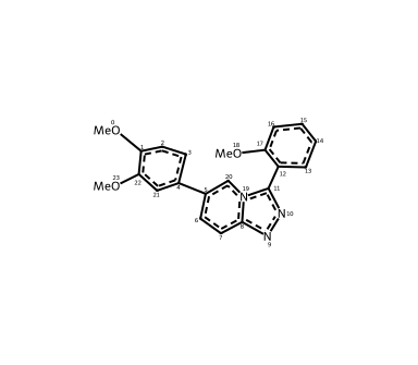 COc1ccc(-c2ccc3nnc(-c4ccccc4OC)n3c2)cc1OC